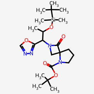 CC(O[Si](C)(C)C(C)(C)C)C(c1nnco1)N1CC2(CCCN2C(=O)OC(C)(C)C)C1=O